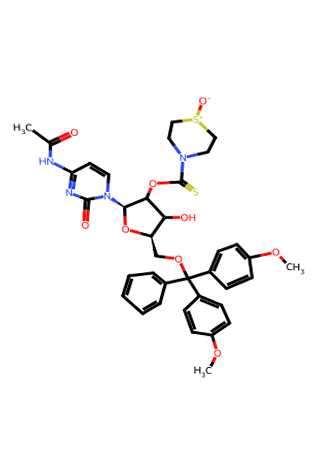 COc1ccc(C(OC[C@H]2O[C@@H](n3ccc(NC(C)=O)nc3=O)C(OC(=S)N3CC[S+]([O-])CC3)C2O)(c2ccccc2)c2ccc(OC)cc2)cc1